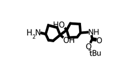 CC(C)(C)OC(=O)NC1CCC(O)(C2(O)CCC(N)CC2)CC1